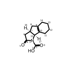 O=C(O)N1C(=O)C[C@H]2CC3=C(CCCC3)[C@H]21